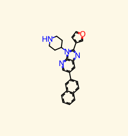 c1ccc2cc(-c3cnc4c(c3)nc(-c3ccoc3)n4C3CCNCC3)ccc2c1